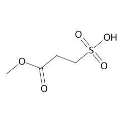 COC(=O)CCS(=O)(=O)O